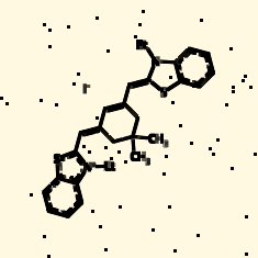 CCN1/C(=C/C2=CC(=C/c3sc4ccccc4[n+]3CC)/CC(C)(C)C2)Sc2ccccc21.[I-]